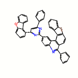 c1ccc(-c2cc(-c3cccc4oc5ccccc5c34)nc(-c3ccc4nc(-c5ccccc5)c5ccc6sc7ccccc7c6c5c4c3)n2)cc1